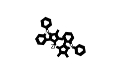 CC1=C(C)[CH]([Zr][CH]2C(C)=C(C)c3c2c2ccccc2n3-c2ccccc2)c2c1n(-c1ccccc1)c1ccccc21